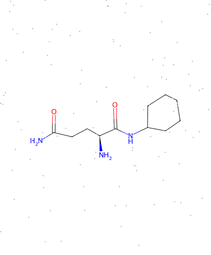 NC(=O)CC[C@H](N)C(=O)NC1CCCCC1